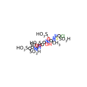 Cc1cc(N=Nc2ccc3c(S(=O)(=O)O)c(N=Nc4cnn(-c5cc(S(=O)(=O)O)c6cc(S(=O)(=O)O)cc(S(=O)(=O)O)c6c5)c4O)ccc3c2O)c(OCCCS(=O)(=O)O)cc1N=Nc1nc2ccc(Cl)c(S(=O)(=O)O)c2s1